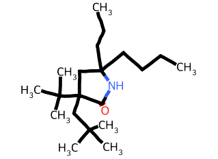 CCCCC1(CCC)CC(CC(C)(C)C)(C(C)(C)C)C(=O)N1